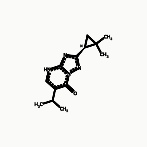 CC(C)c1c[nH]c2nc([C@H]3CC3(C)C)nn2c1=O